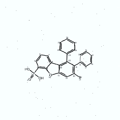 O=P(O)(O)c1cccc2c1oc1cc(Br)c(-c3ccccc3)c(-c3ccccc3)c12